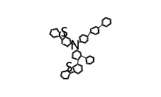 c1ccc(-c2ccc(-c3ccc(N(c4ccc(-c5cccc6c5sc5ccccc56)c(-c5ccccc5)c4)c4ccc5c(c4)sc4ccccc45)cc3)cc2)cc1